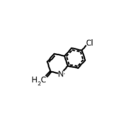 C=C1C=Cc2cc(Cl)ccc2[N]1